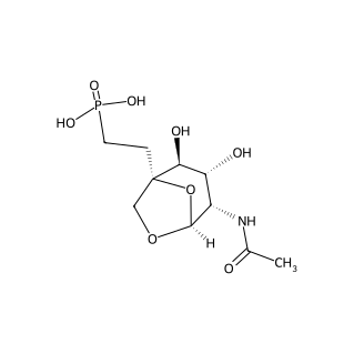 CC(=O)N[C@@H]1[C@H]2OC[C@](CCP(=O)(O)O)(O2)[C@@H](O)[C@@H]1O